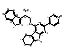 CN[C@H](COc1nc(-c2ccncc2)nc2sc3c(c12)CCCC3)c1csc2ccccc12